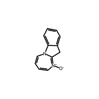 [O-][N+]1=C2Cc3ccccc3N2C=CC=C1